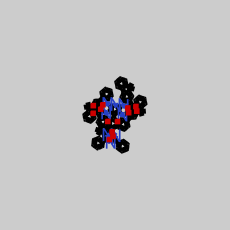 CC1(C)c2ccccc2-c2cc3c(cc21)c1ccccc1n3-c1nc(-n2c3ccccc3c3cc4c(cc32)-c2ccccc2C4(C)C)c(-n2c3ccccc3c3cc4c(cc32)-c2ccccc2C4(C)C)c(-c2ccc(-c3nc(-c4ccccc4)nc(-c4ccccc4)n3)cc2)c1-n1c2ccccc2c2cc3c(cc21)-c1ccccc1C3(C)C